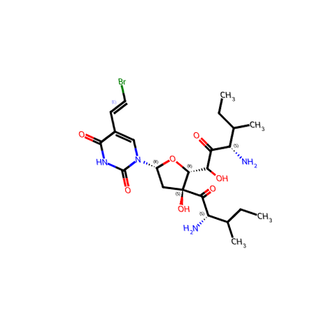 CCC(C)[C@H](N)C(=O)C(O)[C@H]1O[C@@H](n2cc(/C=C/Br)c(=O)[nH]c2=O)C[C@@]1(O)C(=O)[C@@H](N)C(C)CC